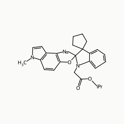 CC(C)OC(=O)CN1c2ccccc2C2(CCCC2)C12C=Nc1c(ccc3c1ccn3C)O2